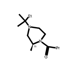 CCC(C)(C)N1CCN(C(=O)C(C)C)[C@@H](C)C1